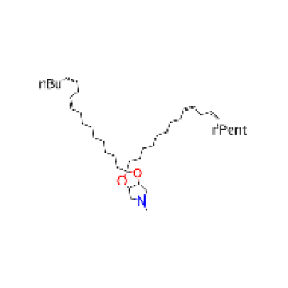 CCCC/C=C\C/C=C\CCCCCCCCC1(CCCCCCCC/C=C\C/C=C\CCCCC)OC2CN(C)CC2O1